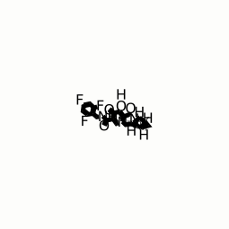 O=C(NCc1c(F)cc(F)cc1F)c1cn2c(c(O)c1=O)C(=O)N1[C@@H](C2)C2C[C@H]1[C@H]1C[C@@H]21